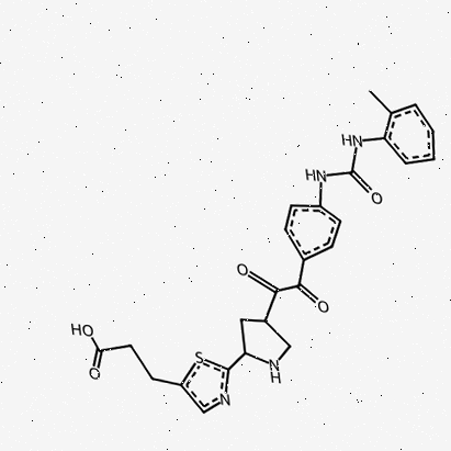 Cc1ccccc1NC(=O)Nc1ccc(C(=O)C(=O)C2CNC(c3ncc(CCC(=O)O)s3)C2)cc1